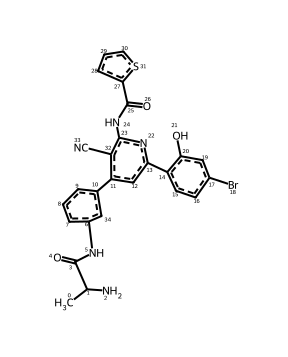 CC(N)C(=O)Nc1cccc(-c2cc(-c3ccc(Br)cc3O)nc(NC(=O)c3cccs3)c2C#N)c1